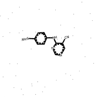 CSc1ccc(Nc2ncncc2C#N)cc1